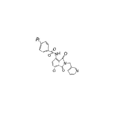 CC(C)c1ccc(S(=O)(=O)Nc2ccc(Cl)c3c2C(=O)N(Cc2cccnc2)C3=O)cc1